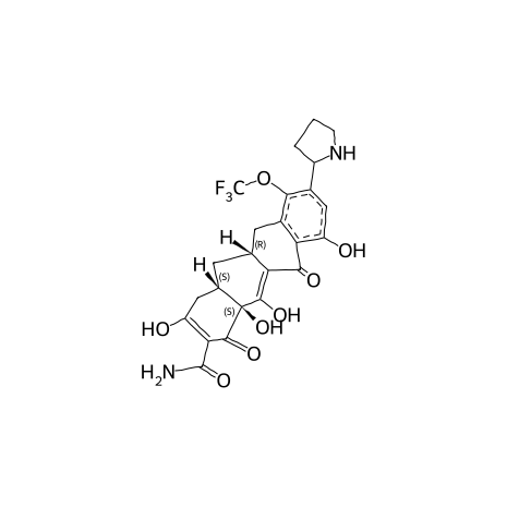 NC(=O)C1=C(O)C[C@@H]2C[C@@H]3Cc4c(OC(F)(F)F)c(C5CCCN5)cc(O)c4C(=O)C3=C(O)[C@]2(O)C1=O